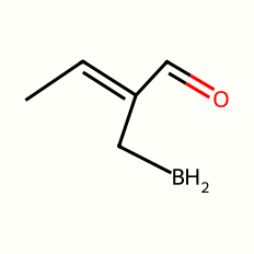 BC/C(C=O)=C\C